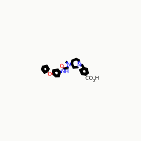 CN(CC(=O)Nc1ccc(Oc2ccccc2)cc1)C1CCCN(Cc2ccc(C(=O)O)cc2)CC1